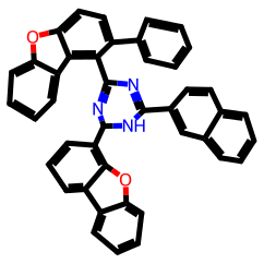 c1ccc(-c2ccc3oc4ccccc4c3c2C2=NC(c3cccc4c3oc3ccccc34)NC(c3ccc4ccccc4c3)=N2)cc1